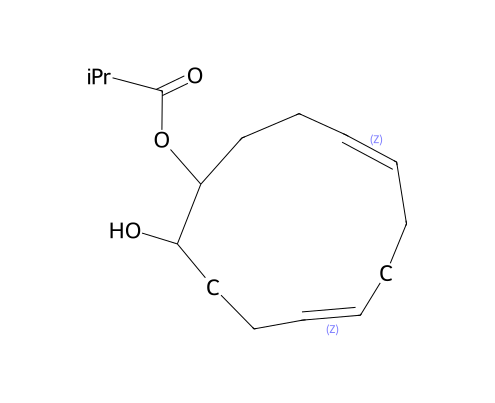 CC(C)C(=O)OC1CC/C=C\CC/C=C\CCC1O